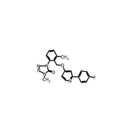 Cc1cccc(-n2nnn(C)c2=O)c1COc1ccnc(-c2ccc(F)cc2)c1